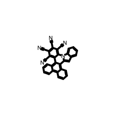 N#Cc1c(C#N)c(C#N)c2c(c1C#N)c1c3ccccc3c3ccccc3c1c1cc3ccccc3n12